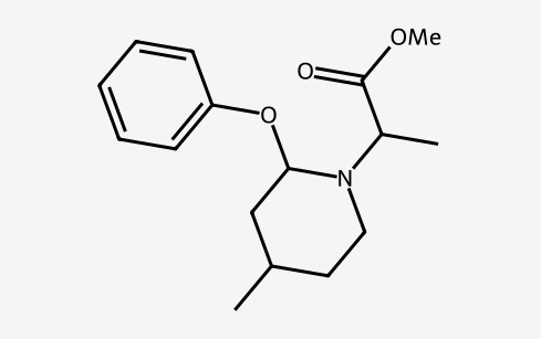 COC(=O)C(C)N1CCC(C)CC1Oc1ccccc1